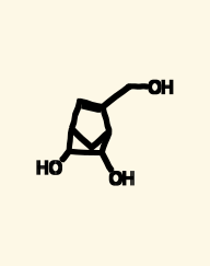 OCC1=CC2CC1C(O)C2O